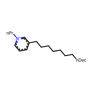 CCCCCCCCCCCCCCCCCc1ccc[n+](CCC)c1